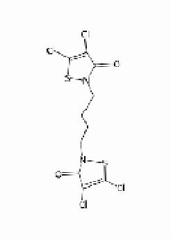 O=c1c(Cl)c(Cl)sn1CCCCn1sc(Cl)c(Cl)c1=O